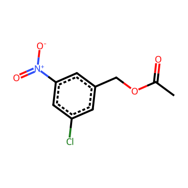 CC(=O)OCc1cc(Cl)cc([N+](=O)[O-])c1